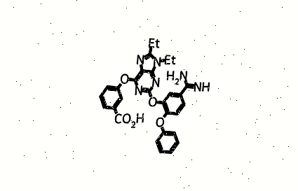 CCc1nc2c(Oc3cccc(C(=O)O)c3)nc(Oc3cc(C(=N)N)ccc3Oc3ccccc3)nc2n1CC